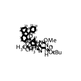 COc1nc(NC(=O)OC(C)(C)C)c2ncn([C@H]3[C@@H]4OC(C)(C)O[C@@H]4[C@]4(COC(c5ccccc5)(c5ccccc5)c5ccccc5)C[C@H]34)c2n1